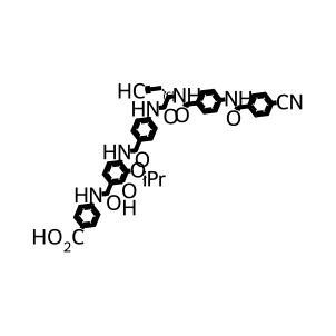 C#CC[C@H](NC(=O)c1ccc(NC(=O)c2ccc(C#N)cc2)cc1)C(=O)Nc1ccc(C(=O)Nc2ccc(C(=O)Nc3ccc(C(=O)O)cc3)c(O)c2OC(C)C)cc1